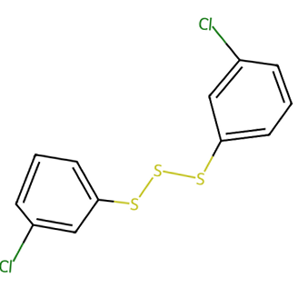 Clc1cccc(SSSc2cccc(Cl)c2)c1